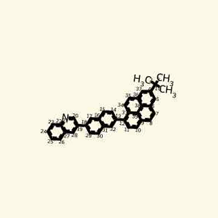 CC(C)(C)c1cc2ccc3ccc(-c4ccc5cc(-c6cnc7ccccc7c6)ccc5c4)c4ccc(c1)c2c34